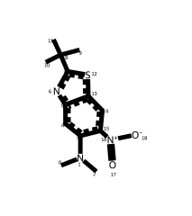 CN(C)c1cc2nc(C(C)(C)C)sc2cc1[N+](=O)[O-]